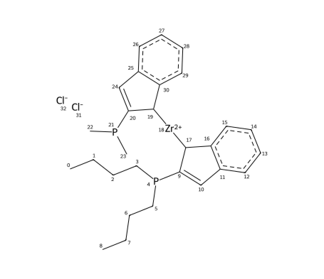 CCCCP(CCCC)C1=Cc2ccccc2[CH]1[Zr+2][CH]1C(P(C)C)=Cc2ccccc21.[Cl-].[Cl-]